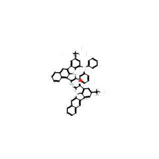 CC(C)(C)c1cc(N(c2ccccc2)c2ccccc2)c2c(c1)c1cc3ccccc3c3c4nc5c(nc4n2c13)c1cc(C(C)(C)C)cc2c3cc4ccccc4cc3n5c21